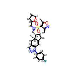 Cc1noc(C)c1S(=O)(=O)N(CC1CCCO1)C[C@H]1CCC2=Cc3c(cnn3-c3ccc(F)cc3)C[C@@]21C